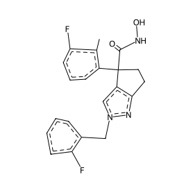 Cc1c(F)cccc1C1(C(=O)NO)CCc2nn(Cc3ccccc3F)cc21